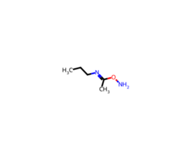 CCC/N=C(\C)ON